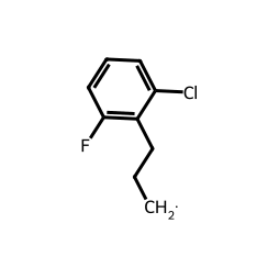 [CH2]CCc1c(F)cccc1Cl